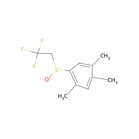 Cc1cc(C)c([S+]([O-])CC(F)(F)F)cc1C